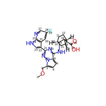 COCc1ccc2c(NC3[C@H]4CC[C@H](CC4)[C@@H]3C(=O)O)nc(-c3c[nH]c4ncc(F)cc34)nn12